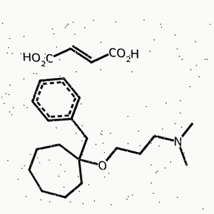 CN(C)CCCOC1(Cc2ccccc2)CCCCCC1.O=C(O)C=CC(=O)O